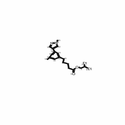 CCC(CC)COC(=O)CCCCc1cc(C)cc(-c2cnn(C)c2)c1